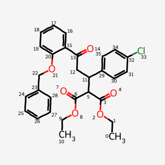 CCOC(=O)C(C(=O)OCC)C(CC(=O)c1ccccc1OCc1ccccc1)c1ccc(Cl)cc1